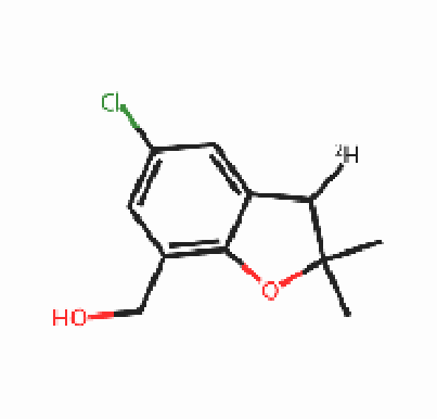 [2H]C1c2cc(Cl)cc(CO)c2OC1(C)C